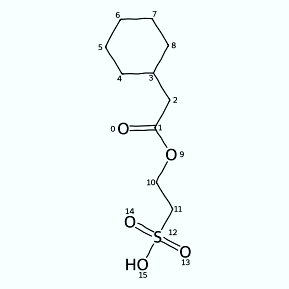 O=C(CC1CCCCC1)OCCS(=O)(=O)O